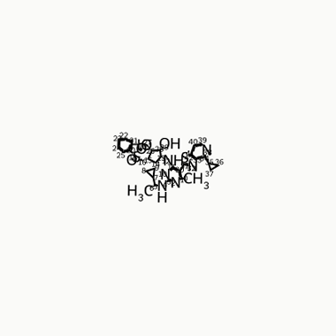 Cc1nc(N[C@H](C)C2CC2)nc(N[C@@H]2C[C@H](CS(=O)(=O)c3ccccc3)[C@@H](O)[C@H]2O)c1-c1nc2c(C3CC3)nccc2s1